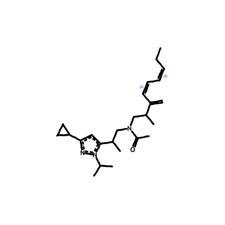 C=C(/C=C\C=C/CC)C(C)CN(CC(C)c1cc(C2CC2)nn1C(C)C)C(C)=O